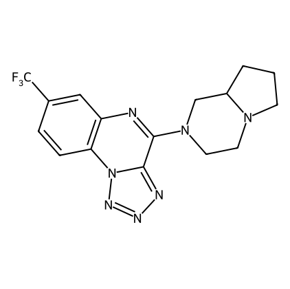 FC(F)(F)c1ccc2c(c1)nc(N1CCN3CCCC3C1)c1nnnn12